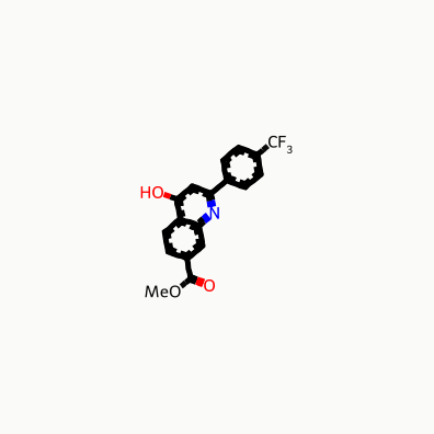 COC(=O)c1ccc2c(O)cc(-c3ccc(C(F)(F)F)cc3)nc2c1